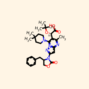 Cc1nc2cc(N3C(=O)OCC3Cc3ccccc3)nn2c(N2CCC(C)(C)CC2)c1[C@H](OC(C)(C)C)C(=O)O